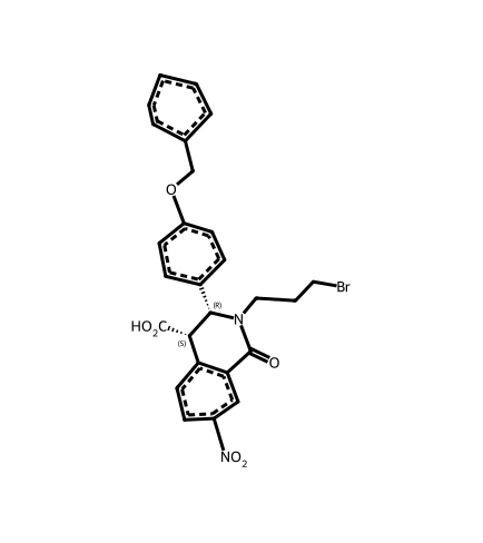 O=C(O)[C@H]1c2ccc([N+](=O)[O-])cc2C(=O)N(CCCBr)[C@H]1c1ccc(OCc2ccccc2)cc1